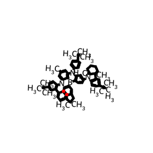 Cc1cc2c3c(c1)N(c1ccc(C(C)(C)C)cc1-c1ccccc1)c1cc4c(cc1B3c1ccc(N3c5ccc(C(C)(C)C)cc5C5(C)CCCCC35C)cc1N2c1ccc(C(C)(C)C)cc1)CC(C)(C)C4